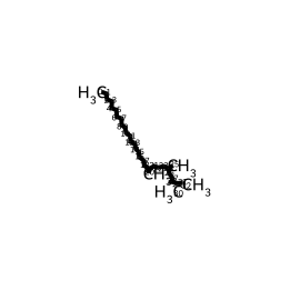 CCCCCCCCCCCCCCCCCCCC(C)CCCC(C)CCCC(C)CC